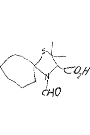 CC1(C)SC2(CCCCCC2)N(C=O)C1C(=O)O